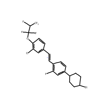 CCC1CCC(c2ccc(/C=C/c3ccc(OC(F)(F)C(F)C(F)(F)F)c(Cl)c3)c(F)c2)CC1